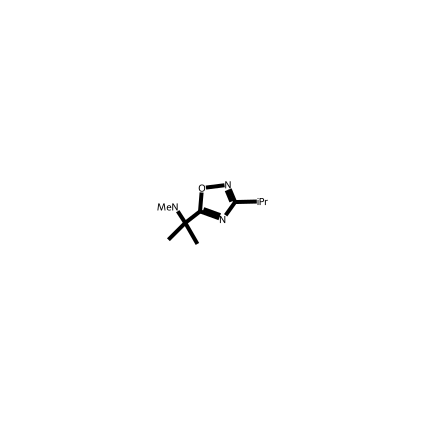 CNC(C)(C)c1nc(C(C)C)no1